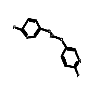 Fc1ccc(OBOc2ccc(F)nc2)cn1